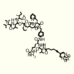 CC[C@H](C)[C@@H]([C@@H](CC(=O)N1CCC[C@H]1[C@H](OC)[C@@H](C)C(=O)N[C@@H](Cc1ccccn1)C(=O)NCc1ccc(NC(=O)[C@H](CCCNC(N)=O)NC(=O)[C@@H](NC(=O)CCCC#Cc2cnc(S(C)(=O)=O)nc2)C(C)C)cc1)OC)N(C)C(=O)[C@@H](NC(=O)[C@H](C(C)C)N(C)C)C(C)C